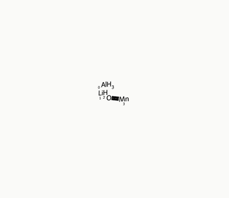 [AlH3].[LiH].[O]=[Mn]